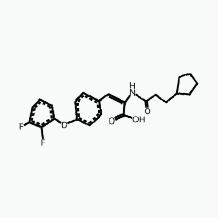 O=C(CCC1CCCC1)N/C(=C/c1ccc(Oc2cccc(F)c2F)cc1)C(=O)O